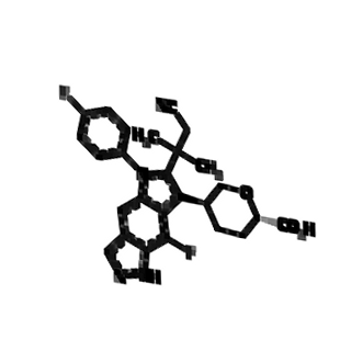 CC(C)(CC#N)c1c([C@@H]2CC[C@@H](C(=O)O)OC2)c2c(F)c3[nH]ncc3cc2n1-c1ccc(F)cc1